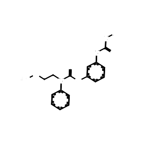 CCCCOCCN(C(=O)Oc1cccc(NC(=O)NCCC)c1)c1ccccc1